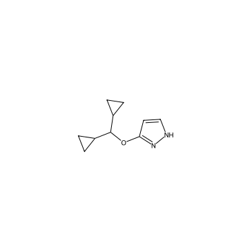 c1cc(OC(C2CC2)C2CC2)n[nH]1